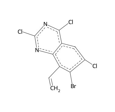 C=Cc1c(Br)c(Cl)cc2c(Cl)nc(Cl)nc12